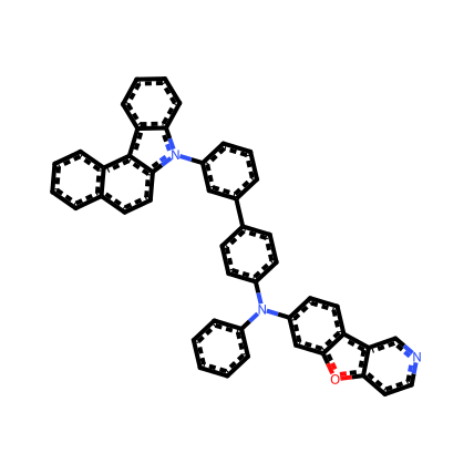 c1ccc(N(c2ccc(-c3cccc(-n4c5ccccc5c5c6ccccc6ccc54)c3)cc2)c2ccc3c(c2)oc2ccncc23)cc1